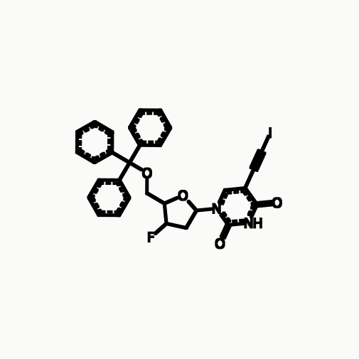 O=c1[nH]c(=O)n(C2CC(F)C(COC(c3ccccc3)(c3ccccc3)c3ccccc3)O2)cc1C#CI